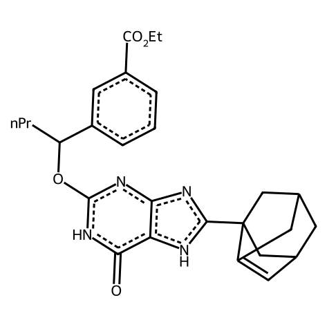 CCCC(Oc1nc2nc(C34CC5C=C3CC(C5)C4)[nH]c2c(=O)[nH]1)c1cccc(C(=O)OCC)c1